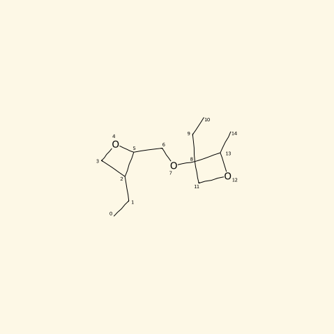 CCC1COC1COC1(CC)COC1C